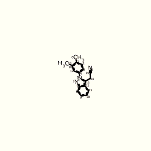 Cc1ccc(-n2nc3ccccc3c2CC#N)cc1C